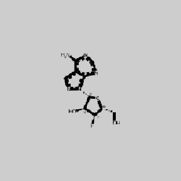 Nc1ncnc2c1cnn2[C@@H]1O[C@H](CO)[C@@H](F)[C@H]1O